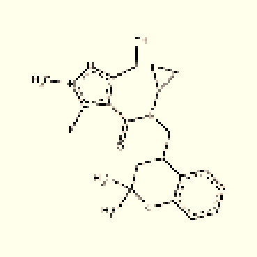 CCc1nn(C)c(F)c1C(=O)N(CC1CC(C)(C)Oc2ccccc21)C1CC1